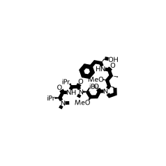 CC[C@H](C)[C@@H]([C@@H](CC(=O)N1CCC[C@H]1[C@H](OC)[C@@H](C)C(=O)N[C@@H](CO)Cc1ccccc1)OC)N(C)C(=O)[C@@H](NC(=O)[C@H](C(C)C)N(C)C)C(C)C